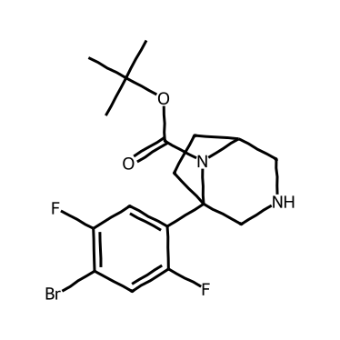 CC(C)(C)OC(=O)N1C2CCC1(c1cc(F)c(Br)cc1F)CNC2